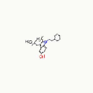 Cc1c(CC(=O)O)c2cc(O)ccc2n1CCc1ccccc1